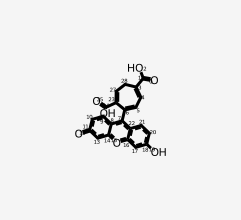 O=C(O)C1=CC=C(c2c3ccc(=O)cc-3oc3cc(O)ccc23)C(C(=O)O)=CC1